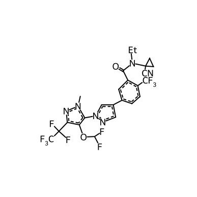 CCN(C(=O)c1cc(-c2cnn(-c3c(OC(F)F)c(C(F)(F)C(F)(F)F)nn3C)c2)ccc1C(F)(F)F)C1(C#N)CC1